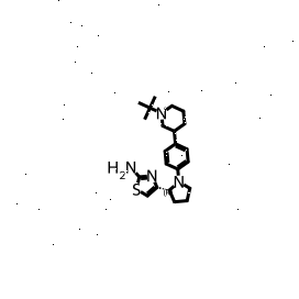 CC(C)(C)N1CCCC(c2ccc(N3CCC[C@@H]3c3csc(N)n3)cc2)C1